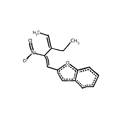 C/C=C(CC)\C(=C/c1cc2ccccc2o1)[N+](=O)[O-]